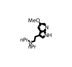 CCCN(CCC)CCc1c[nH]c2ncc(OC)cc12